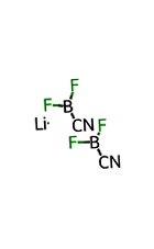 N#CB(F)F.N#CB(F)F.[Li]